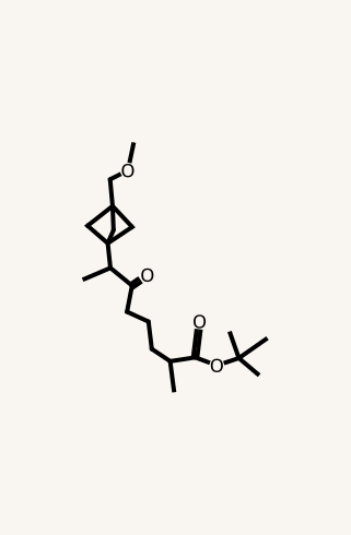 COCC12CC(C(C)C(=O)CCCC(C)C(=O)OC(C)(C)C)(C1)C2